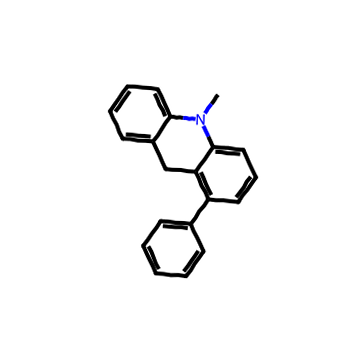 CN1c2ccccc2Cc2c(-c3ccccc3)cccc21